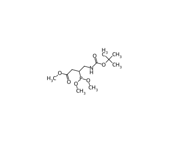 COC(=O)CC(CNC(=O)OC(C)(C)C)P(OC)OC